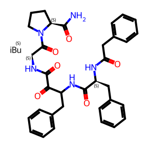 CC[C@H](C)[C@H](NC(=O)C(=O)C(Cc1ccccc1)NC(=O)[C@H](Cc1ccccc1)NC(=O)Cc1ccccc1)C(=O)N1CCC[C@H]1C(N)=O